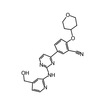 N#Cc1cc(-c2ccnc(Nc3cc(CO)ccn3)n2)ccc1OC1CCOCC1